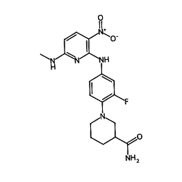 CNc1ccc([N+](=O)[O-])c(Nc2ccc(N3CCCC(C(N)=O)C3)c(F)c2)n1